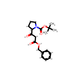 CC(C)(C)OC(=O)N1CCCC1C(=O)CC(=O)OCc1ccccc1